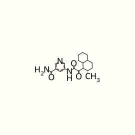 C[C@H]1CCC2CCCCC2C1C(=O)C(=O)Nc1cncc(C(N)=O)c1